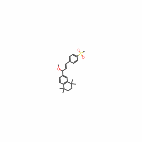 COC(C=Cc1ccc(S(C)(=O)=O)cc1)c1ccc2c(c1)C(C)(C)CCC2(C)C